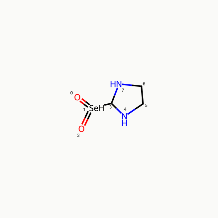 O=[SeH](=O)C1NCCN1